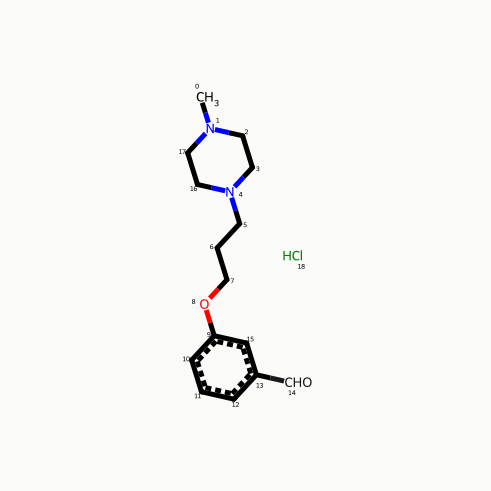 CN1CCN(CCCOc2cccc(C=O)c2)CC1.Cl